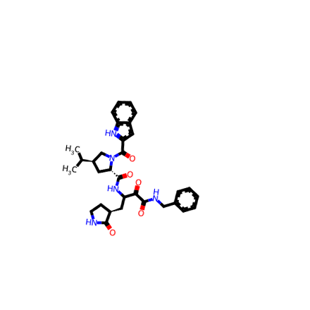 CC(C)[C@@H]1C[C@@H](C(=O)NC(C[C@@H]2CCNC2=O)C(=O)C(=O)NCc2ccccc2)N(C(=O)c2cc3ccccc3[nH]2)C1